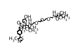 Cc1ncsc1-c1ccc(CNC(=O)[C@@H]2C[C@@H](O)CN2C(=O)[C@@H](NCCOCCOCCOCCNC(=O)OC(C)(C)C)C(C)(C)C)cc1